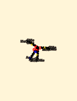 CO[Si](CCCSCCCOCC(COCCCSCCC[Si](OC)(OC)OC)(COCCCSCCC[Si](OC)(OC)OC)COC(=O)NCCCCCCN(C(C)=O)C(C)=O)(OC)OC